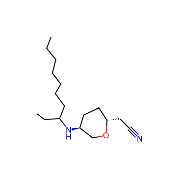 CCCCCCCC(CC)N[C@H]1CC[C@H](CC#N)OC1